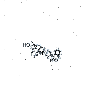 CC(CO)NC(=O)c1cnc(N2CCC(N3C(=O)OCc4ccccc43)CC2)nc1C(F)(F)F